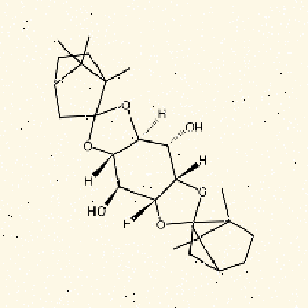 CC1(C)C2CCC1(C)C1(C2)O[C@@H]2[C@@H](O)[C@@H]3OC4(CC5CCC4(C)C5(C)C)O[C@H]3[C@H](O)[C@@H]2O1